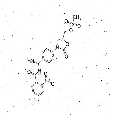 CS(=O)(=O)OCC1CN(c2ccc(C(=N)NC(=O)c3ccccc3[N+](=O)[O-])cc2)C(=O)O1